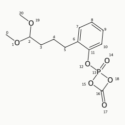 COC(CCCc1ccccc1OP1(=O)OC(=O)O1)OC